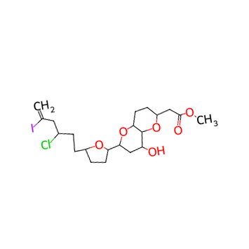 C=C(I)CC(Cl)CCC1CCC(C2CC(O)C3OC(CC(=O)OC)CCC3O2)O1